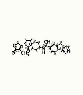 CC1=C(N2CCC3(CCC(N[C@@H](C)c4ccc5c(c4)Cn4nnnc4-5)CC3)C2=O)COC1=O